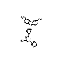 Cc1ccc2c(c1)c1cc(C)ccc1n2-c1ccc(-c2nc(C#N)cc(-c3ccccc3)n2)cc1